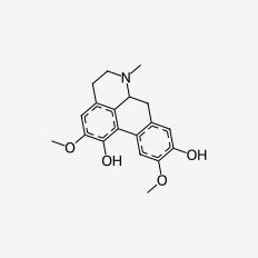 COc1cc2c(cc1O)CC1c3c(cc(OC)c(O)c3-2)CCN1C